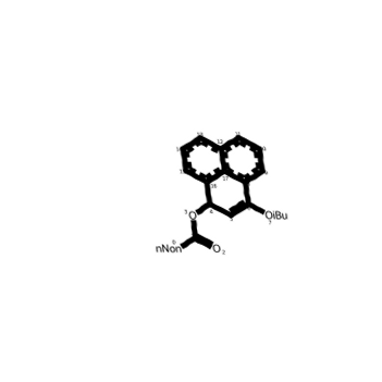 CCCCCCCCCC(=O)OC1C=C(OCC(C)C)c2cccc3cccc1c23